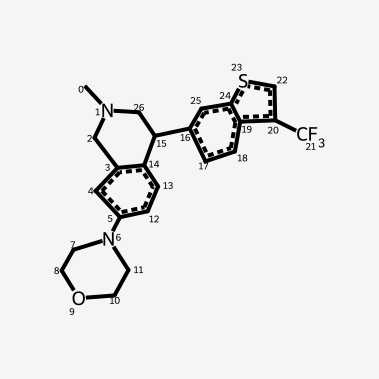 CN1Cc2cc(N3CCOCC3)ccc2C(c2ccc3c(C(F)(F)F)csc3c2)C1